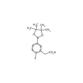 CC1(C)OB(c2ccc(F)c(CC(=O)O)c2)OC1(C)C